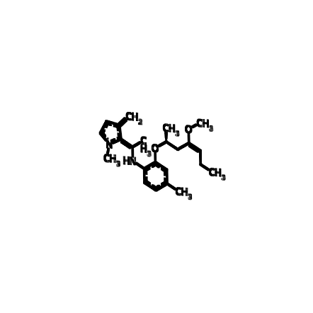 C=c1ccn(C)/c1=C(/C)Nc1ccc(C)cc1O[C@@H](C)C/C(=C\CC)OC